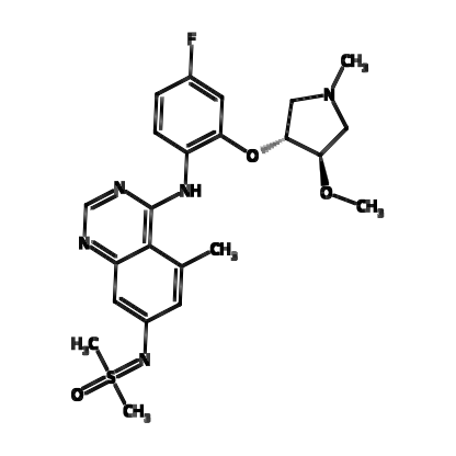 CO[C@@H]1CN(C)C[C@H]1Oc1cc(F)ccc1Nc1ncnc2cc(N=S(C)(C)=O)cc(C)c12